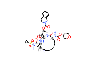 O=C(N[C@H]1CCCCC/C=C\[C@@H]2C[C@@]2(C(=O)NS(=O)(=O)C2CC2)NC(=O)[C@@H]2C[C@@H](OC(=O)N3CCc4ccccc4C3)CN2C1=O)OC1CCOCC1